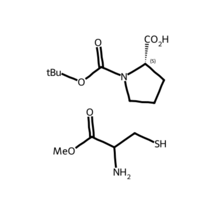 CC(C)(C)OC(=O)N1CCC[C@H]1C(=O)O.COC(=O)C(N)CS